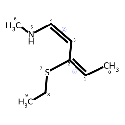 C/C=C(\C=C/NC)SCC